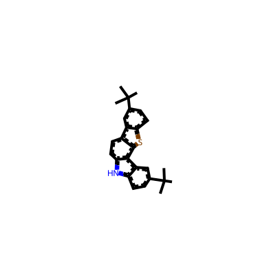 CC(C)(C)c1ccc2sc3c(ccc4[nH]c5ccc(C(C)(C)C)cc5c43)c2c1